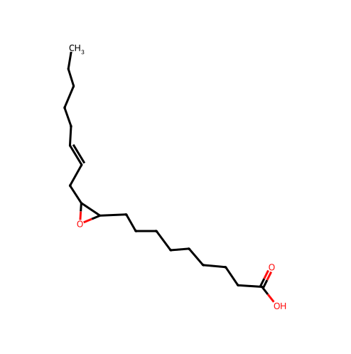 CCCCCC=CCC1OC1CCCCCCCCC(=O)O